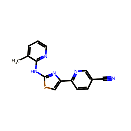 Cc1cccnc1Nc1nc(-c2ccc(C#N)cn2)cs1